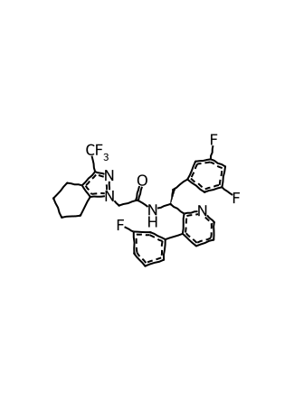 O=C(Cn1nc(C(F)(F)F)c2c1CCCC2)N[C@@H](Cc1cc(F)cc(F)c1)c1ncccc1-c1cccc(F)c1